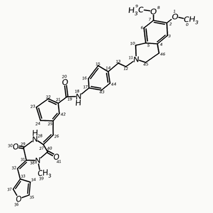 COc1cc2c(cc1OC)CN(CCc1ccc(NC(=O)c3cccc(C=c4[nH]c(=O)c(=Cc5ccoc5)n(C)c4=O)c3)cc1)CC2